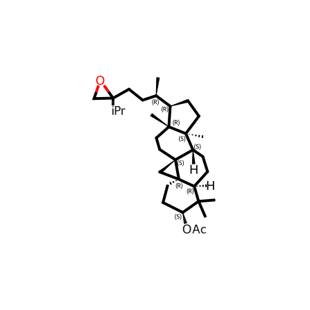 CC(=O)O[C@H]1CC[C@]23C[C@]24CC[C@]2(C)[C@@H]([C@H](C)CCC5(C(C)C)CO5)CC[C@@]2(C)[C@@H]4CC[C@H]3C1(C)C